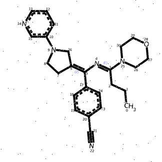 CCC/C(=N\C(=C1\CCN(c2cccnc2)C1)c1ccc(C#N)cc1)N1CCOCC1